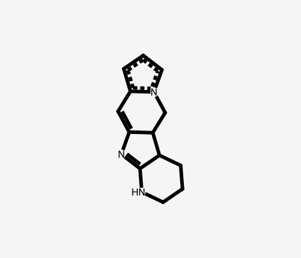 C1=C2N=C3NCCCC3C2Cn2cccc21